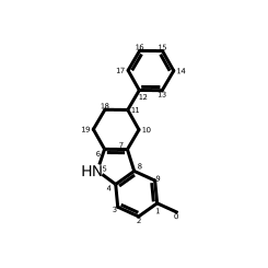 Cc1ccc2[nH]c3c(c2c1)CC(c1ccccc1)CC3